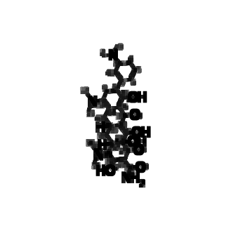 CN(C)c1cccc(-c2cc(N(C)C)c3c(c2O)C(=O)C2=C(O)[C@]4(O)C(=O)C(C(N)=O)=C(O)[C@H](N(C)C)[C@@H]4C[C@@H]2C3)c1